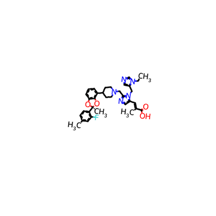 CCn1cncc1Cn1c(/C=C(\C)C(=O)O)cnc1CN1CCC(c2cccc3c2O[C@@](C)(c2ccc(C)cc2F)O3)CC1